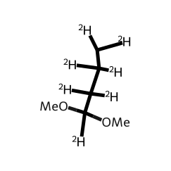 [2H]C([2H])C([2H])([2H])C([2H])([2H])C([2H])(OC)OC